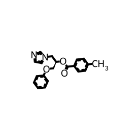 Cc1ccc(C(=O)O[C@@H](COc2ccccc2)Cn2ccnc2)cc1